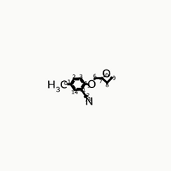 Cc1ccc(OCC2CCO2)c(C#N)c1